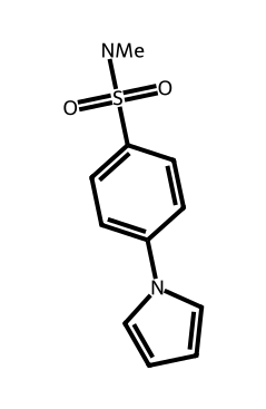 CNS(=O)(=O)c1ccc(-n2cccc2)cc1